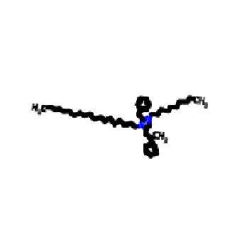 CCCCCCCCCCCCCCCCCCC[n+]1c(CC(C)c2ccccc2)cn(CCCCCCCCCC)c1Cc1ccccc1